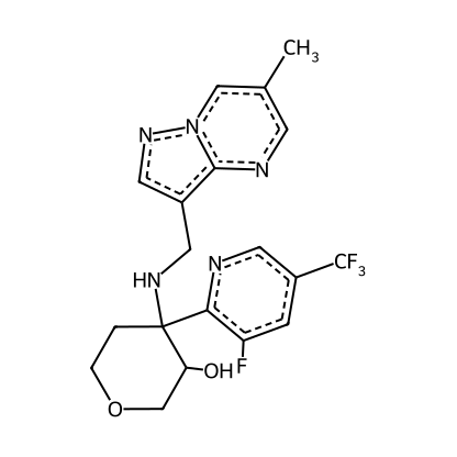 Cc1cnc2c(CNC3(c4ncc(C(F)(F)F)cc4F)CCOCC3O)cnn2c1